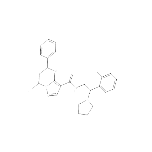 O=C(NCC(c1ccccc1Cl)N1CCCC1)c1cnn2c1NC(c1ccccc1)CC2C(F)(F)F